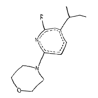 CC(C)c1ccc(N2CCOCC2)nc1F